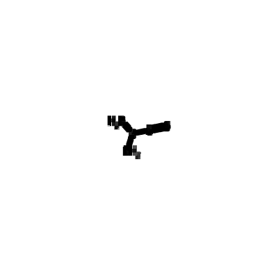 BB(B)B=S